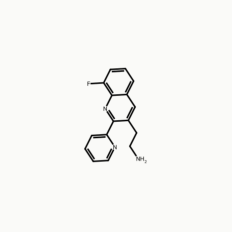 NCCc1cc2cccc(F)c2nc1-c1ccccn1